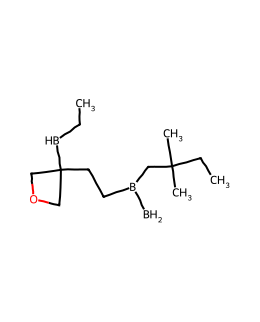 BB(CCC1(BCC)COC1)CC(C)(C)CC